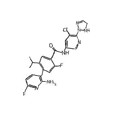 CC(C)c1cc(C(=O)Nc2cnc(N3N=CCN3)c(Cl)c2)c(F)cc1-c1ccc(F)nc1N